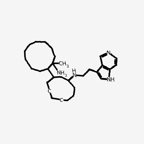 CC1(N)CCCCCCCCCC1C1CCCCCCCC(NCCc2c[nH]c3ccncc23)C1